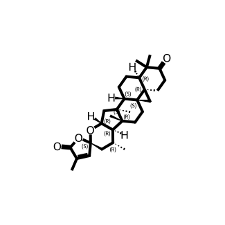 CC1=C[C@]2(C[C@@H](C)[C@H]3[C@@H](C[C@@]4(C)[C@@H]5CC[C@H]6C(C)(C)C(=O)CC[C@@]67C[C@@]57CC[C@]34C)O2)OC1=O